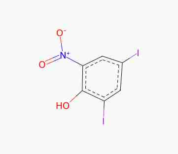 O=[N+]([O-])c1cc(I)cc(I)c1O